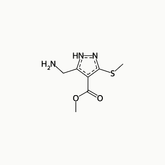 COC(=O)c1c(SC)n[nH]c1CN